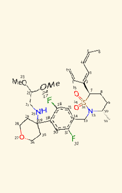 C=C/C(=C\C=C/C)[C@H]1CC[C@H](C)N(Cc2cc(F)c(C3(NCC(OC)OC)CCOCC3)cc2F)S1(=O)=O